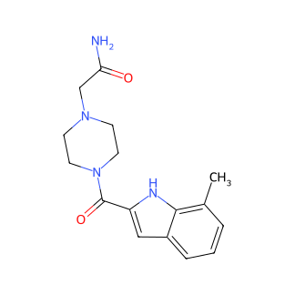 Cc1cccc2cc(C(=O)N3CCN(CC(N)=O)CC3)[nH]c12